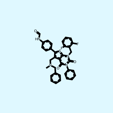 CN(Cc1ccccc1)Cc1c(-c2ccc(NC=O)cc2)sc2c1c(=O)n(-c1ccccc1)c(=O)n2Cc1c(F)cccc1F